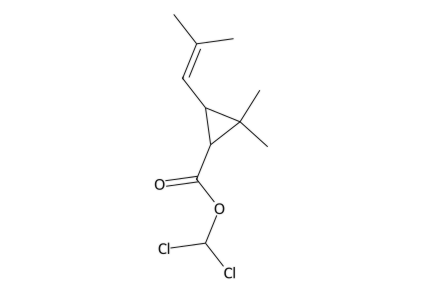 CC(C)=CC1C(C(=O)OC(Cl)Cl)C1(C)C